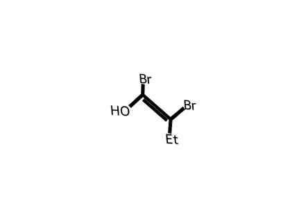 CC/C(Br)=C(\O)Br